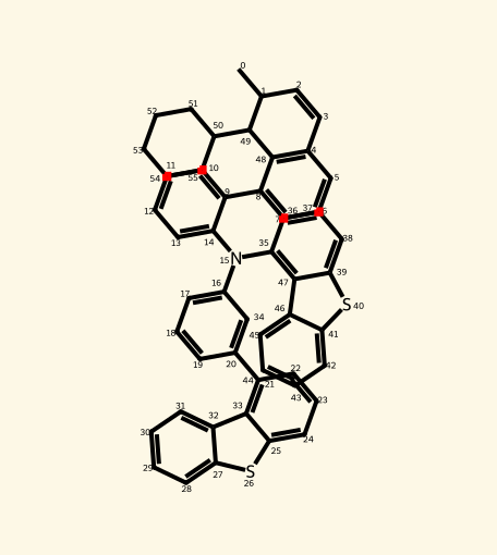 CC1C=Cc2cccc(-c3ccccc3N(c3cccc(-c4cccc5sc6ccccc6c45)c3)c3cccc4sc5ccccc5c34)c2C1C1CCCCC1